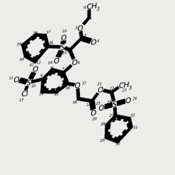 CCOC(=O)C(Oc1cc(S(=O)(=O)Cl)ccc1OCC(=O)OC(C)S(=O)(=O)c1ccccc1)S(=O)(=O)c1ccccc1